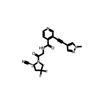 Cn1cc(C#Cc2cnccc2C(=O)NCC(=O)N2CC(F)(F)C[C@H]2C#N)cn1